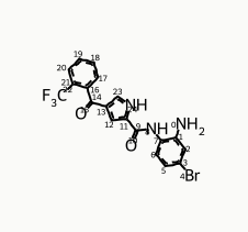 Nc1cc(Br)ccc1NC(=O)c1cc(C(=O)c2ccccc2C(F)(F)F)c[nH]1